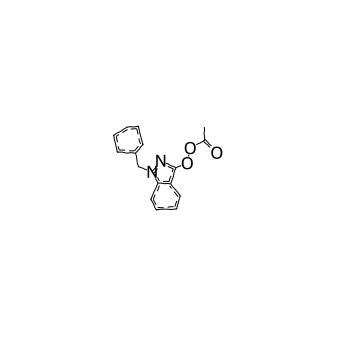 CC(=O)OOc1nn(Cc2ccccc2)c2ccccc12